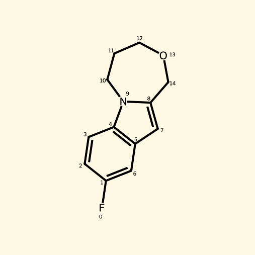 Fc1ccc2c(c1)cc1n2CCCOC1